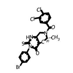 C[C@@H]1Cc2c([nH]c(=S)n(-c3ccc(Br)cc3)c2=O)CN1C(=O)c1ccc(Cl)c(Cl)c1